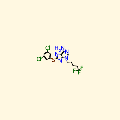 Nc1ncn(CCCCC(F)(F)F)c2nc(Sc3cc(Cl)cc(Cl)c3)nc1-2